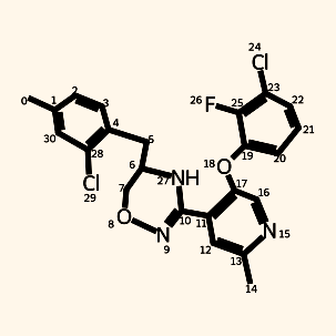 Cc1ccc(CC2CON=C(c3cc(C)ncc3Oc3cccc(Cl)c3F)N2)c(Cl)c1